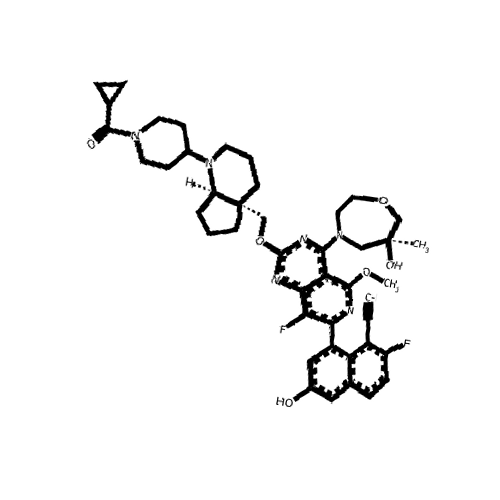 C#Cc1c(F)ccc2cc(O)cc(-c3nc(OC)c4c(N5CCOC[C@@](C)(O)C5)nc(OC[C@]56CCC[C@H]5N(C5CCN(C(=O)C7CC7)CC5)CCC6)nc4c3F)c12